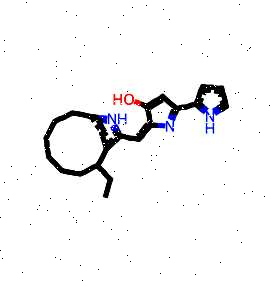 CCC1CCCCCCc2cc1c(/C=C1/N=C(c3ccc[nH]3)C=C1O)[nH]2